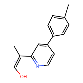 C/C(=C/O)c1cc(-c2ccc(C)cc2)ccn1